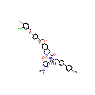 Cc1nc(NC(C)C)ccc1S(=O)(=O)N1Cc2cc3c(cc2C[C@H]1C(=O)NC(Cc1ccc(-c2ccc(C#N)cc2)cc1)C(=O)O)OC[C@H](c1ccc(OCc2ccc(Cl)c(Cl)c2)cc1)O3